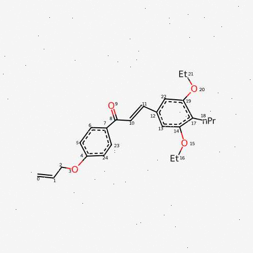 C=CCOc1ccc(C(=O)C=Cc2cc(OCC)c(CCC)c(OCC)c2)cc1